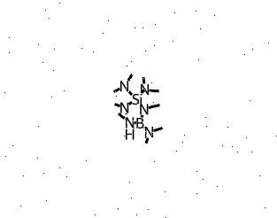 CNB(N(C)C)N(C)[Si](N(C)C)(N(C)C)N(C)C